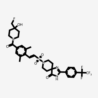 Cc1cc(C(=O)N2CCC(O)(CF)CC2)cc(C)c1C=CS(=O)(=O)N1CCC2(CC1)N=C(c1ccc(C(F)(F)C(F)(F)F)cc1)NC2=O